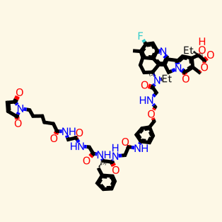 CCN(C(=O)CNCOCc1ccc(NC(=O)CNC(=O)[C@H](Cc2ccccc2)NC(=O)CNC(=O)CNC(=O)CCCCCN2C(=O)C=CC2=O)cc1)[C@H]1CCc2c(C)c(F)cc3nc4c(c1c23)Cn1c-4cc2c(c1=O)COC(=O)[C@]2(O)CC